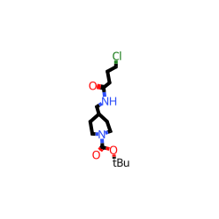 CC(C)(C)OC(=O)N1CCC(CNC(=O)CCCCl)CC1